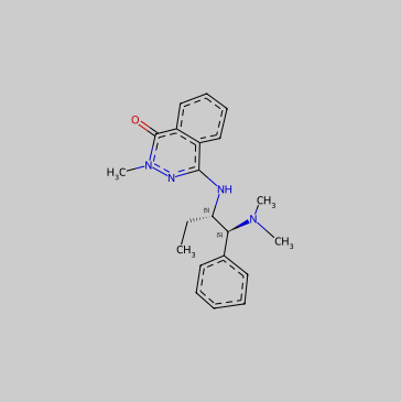 CC[C@H](Nc1nn(C)c(=O)c2ccccc12)[C@H](c1ccccc1)N(C)C